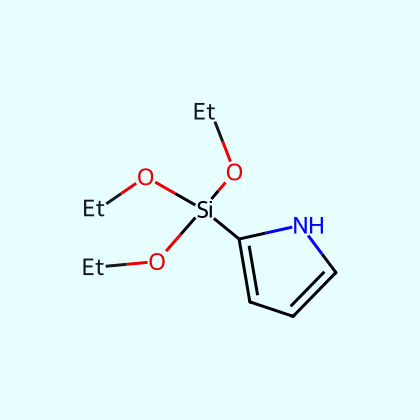 CCO[Si](OCC)(OCC)c1ccc[nH]1